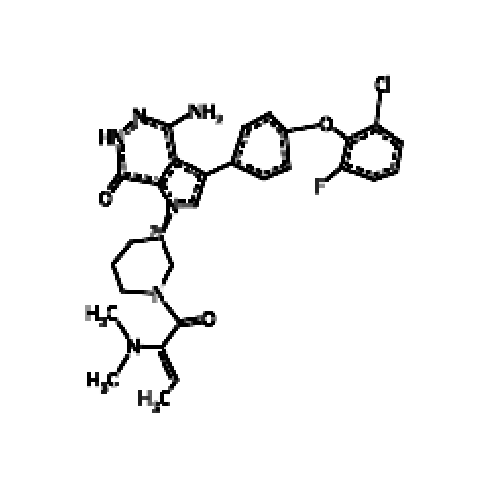 CC=C(C(=O)N1CCC[C@@H](n2cc(-c3ccc(Oc4c(F)cccc4Cl)cc3)c3c(N)n[nH]c(=O)c32)C1)N(C)C